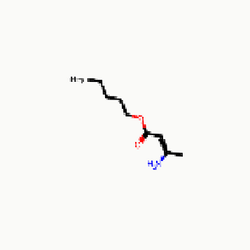 CCCCCCCCCCCOC(=O)/C=C(/C)N